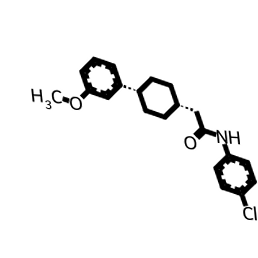 COc1cccc([C@H]2CC[C@@H](CC(=O)Nc3ccc(Cl)cc3)CC2)c1